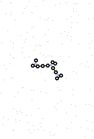 c1ccc(-n2c3ccccc3c3ccc(-c4ccc(-c5ccc(N(c6ccc(-c7ccc(-n8c9ccccc9c9ccccc98)cc7)cc6)c6cccc7ccccc67)cc5)cc4)cc32)cc1